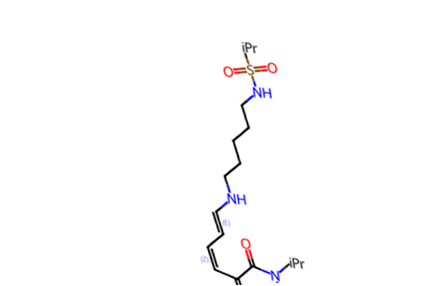 C=C(/C=C\C=C\NCCCCCNS(=O)(=O)C(C)C)C(=O)N(C(C)C)C(C)C